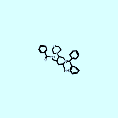 NC1CC(CNC(=O)c2ccccc2)C(N2CCOCC2)CN1C(c1ccccc1)c1ccccc1